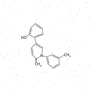 C=C1C=CC(c2ccccc2O)=CN1c1cccc(C)c1